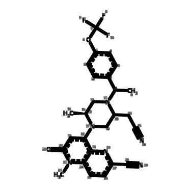 CC(c1ccc(OC(F)(F)F)cc1)N1C[C@H](C)N(c2cc(=O)n(C)c3ccc(C#N)nc23)CC1CC#N